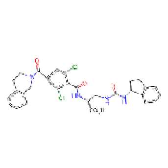 O=C(NC[C@H](NC(=O)c1c(Cl)cc(C(=O)N2CCc3ccccc3C2)cc1Cl)C(=O)O)N[C@@H]1CCc2ccccc21